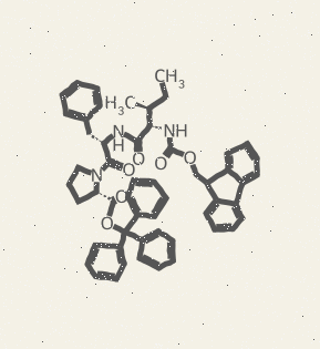 CC[C@H](C)[C@H](NC(=O)OCC1c2ccccc2-c2ccccc21)C(=O)N[C@@H](Cc1ccccc1)C(=O)N1CCC[C@H]1C(=O)OC(c1ccccc1)(c1ccccc1)c1ccccc1